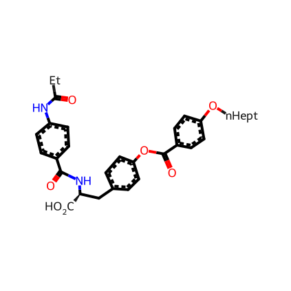 CCCCCCCOc1ccc(C(=O)Oc2ccc(C[C@H](NC(=O)c3ccc(NC(=O)CC)cc3)C(=O)O)cc2)cc1